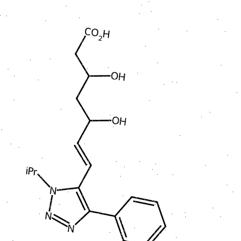 CC(C)n1nnc(-c2ccccc2)c1C=CC(O)CC(O)CC(=O)O